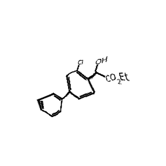 CCOC(=O)C(O)c1ccc(-c2ccccc2)cc1Cl